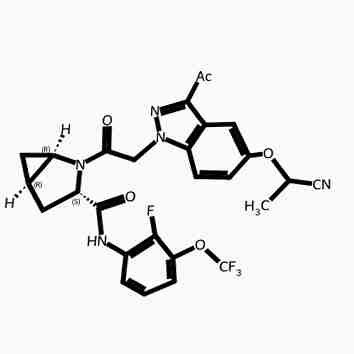 CC(=O)c1nn(CC(=O)N2[C@@H]3C[C@@H]3C[C@H]2C(=O)Nc2cccc(OC(F)(F)F)c2F)c2ccc(OC(C)C#N)cc12